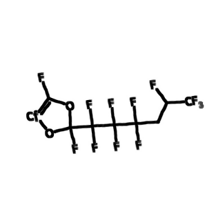 F[C]1=[Cf][O]C(F)(C(F)(F)C(F)(F)C(F)(F)CC(F)C(F)(F)F)O1